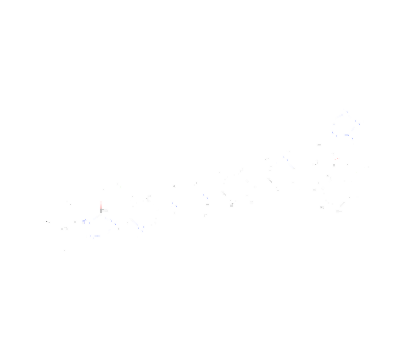 CC[C@@H]([C@H](C)O)n1ncn(-c2ncc(N3CCN(c4ccc(-c5ccc(C(F)(F)[C@](O)(Cn6cnnn6)c6ccc(F)cc6F)nc5)cc4)CC3)cc2F)c1=O